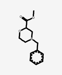 COC(=O)C1CN(Cc2ccccc2)CCO1